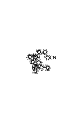 N#Cc1cccc(-c2cccc(-c3cccc(-c4nc(-c5ccccc5)nc(-c5ccc(-c6cc(-c7ccccc7)ccc6-c6nc(-c7ccccc7)nc7ccccc67)cc5)n4)c3)c2)c1